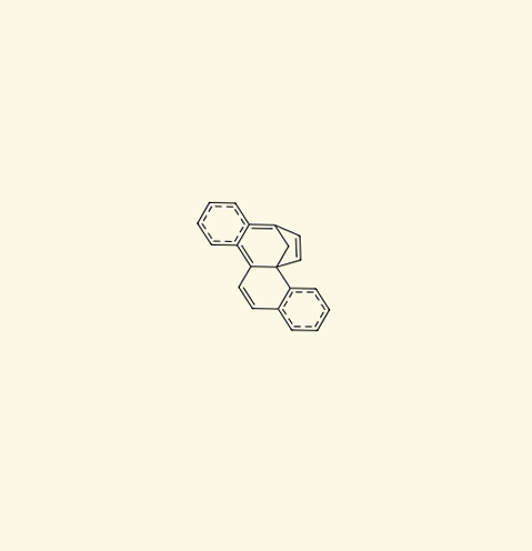 C1=CC23CC1=c1ccccc1=C2C=Cc1ccccc13